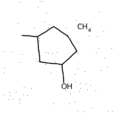 C.CC1CCCC(O)C1